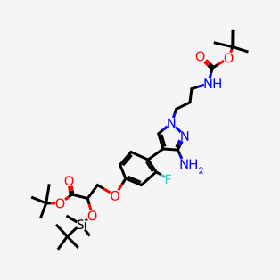 CC(C)(C)OC(=O)NCCCn1cc(-c2ccc(OCC(O[Si](C)(C)C(C)(C)C)C(=O)OC(C)(C)C)cc2F)c(N)n1